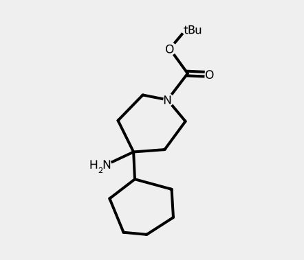 CC(C)(C)OC(=O)N1CCC(N)(C2CCCCC2)CC1